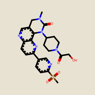 CN1Cc2cnc3ccc(-c4ccc(S(C)(=O)=O)nc4)nc3c2N(C2CCN(C(=O)CO)CC2)C1=O